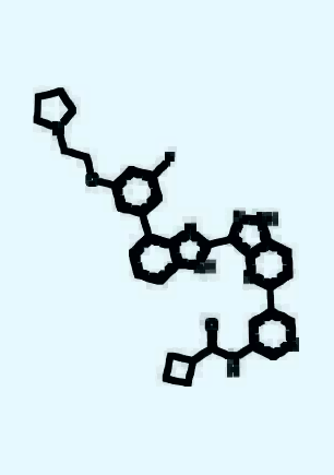 O=C(Nc1cncc(-c2ccc3[nH]nc(-c4nc5c(-c6cc(F)cc(OCCN7CCCC7)c6)cccc5[nH]4)c3n2)c1)C1CCC1